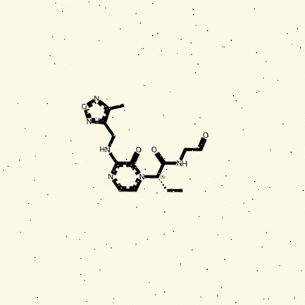 CC[C@@H](C(=O)NCC=O)n1ccnc(NCc2nonc2C)c1=O